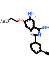 C#Cc1cccc(-c2nc(N)c3cc(N)c(OCCOC)cc3n2)c1